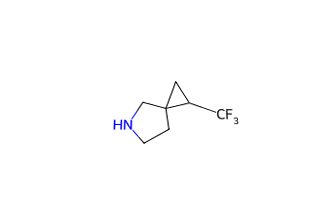 FC(F)(F)C1CC12CCNC2